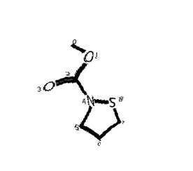 COC(=O)N1CCCS1